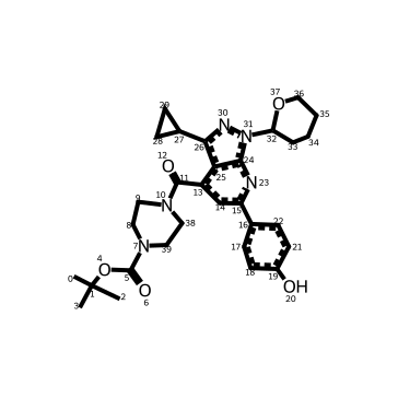 CC(C)(C)OC(=O)N1CCN(C(=O)c2cc(-c3ccc(O)cc3)nc3c2c(C2CC2)nn3C2CCCCO2)CC1